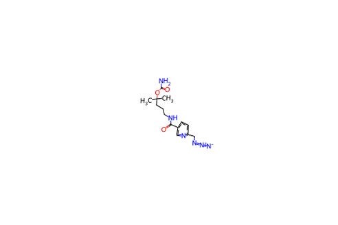 CC(C)(CCCNC(=O)c1ccc(CN=[N+]=[N-])nc1)OC(N)=O